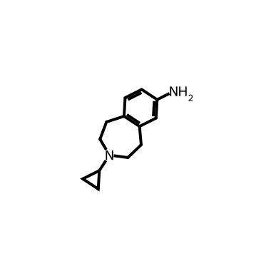 Nc1ccc2c(c1)CCN(C1CC1)CC2